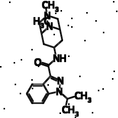 CC(C)n1nc(C(=O)NC2CC3CN(C)CC(C2)N3C)c2ccccc21